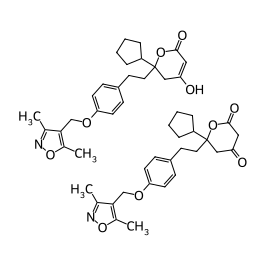 Cc1noc(C)c1COc1ccc(CCC2(C3CCCC3)CC(=O)CC(=O)O2)cc1.Cc1noc(C)c1COc1ccc(CCC2(C3CCCC3)CC(O)=CC(=O)O2)cc1